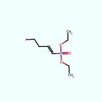 CCOP(=O)(/C=C/CCI)OCC